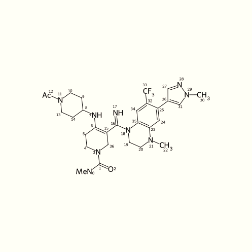 CNC(=O)N1CCC(NC2CCN(C(C)=O)CC2)=C(C(=N)N2CCN(C)c3cc(-c4cnn(C)c4)c(C(F)(F)F)cc32)C1